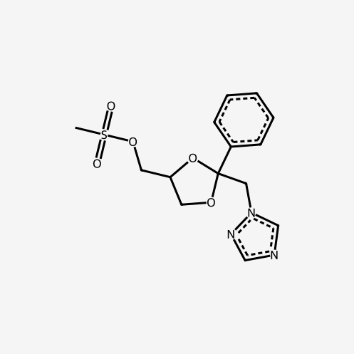 CS(=O)(=O)OCC1COC(Cn2cncn2)(c2ccccc2)O1